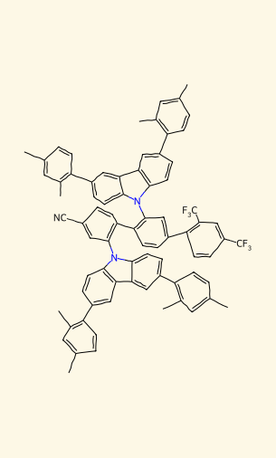 Cc1ccc(-c2ccc3c(c2)c2cc(-c4ccc(C)cc4C)ccc2n3-c2cc(C#N)ccc2-c2ccc(-c3ccc(C(F)(F)F)cc3C(F)(F)F)cc2-n2c3ccc(-c4ccc(C)cc4C)cc3c3cc(-c4ccc(C)cc4C)ccc32)c(C)c1